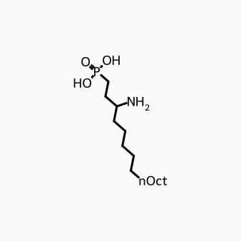 CCCCCCCCCCCCCC(N)CCP(=O)(O)O